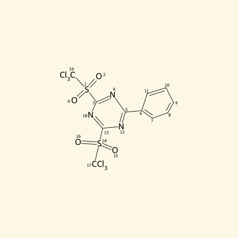 O=S(=O)(c1nc(-c2ccccc2)nc(S(=O)(=O)C(Cl)(Cl)Cl)n1)C(Cl)(Cl)Cl